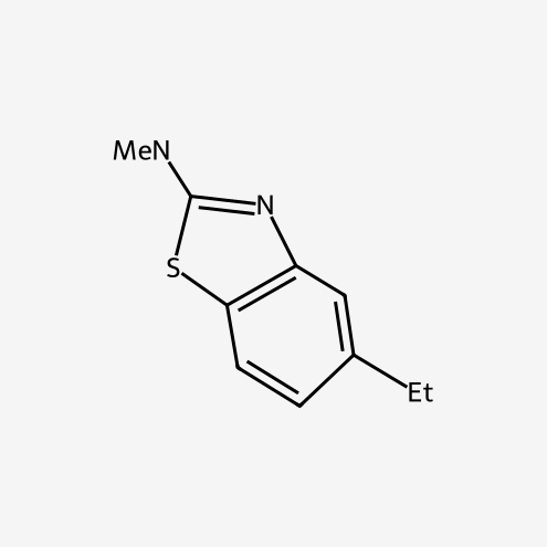 CCc1ccc2sc(NC)nc2c1